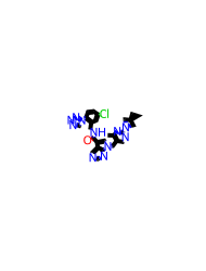 Cc1nc(N2CC3(CC3)C2)ncc1Cn1cc(C(=O)NCc2cc(Cl)ccc2-n2cnnn2)c2cncnc21